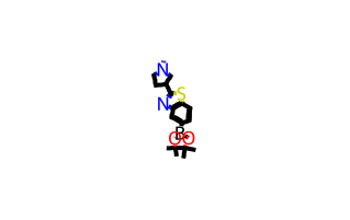 CN1CCC(c2nc3cc(B4OC(C)(C)C(C)(C)O4)ccc3s2)C1